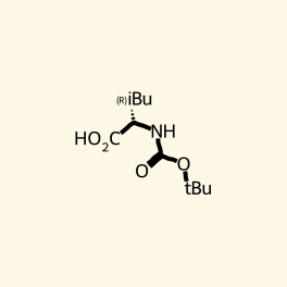 CC[C@@H](C)C(NC(=O)OC(C)(C)C)C(=O)O